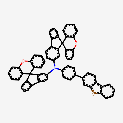 c1ccc2c(c1)Oc1ccccc1C21c2ccccc2-c2ccc(N(c3ccc(-c4ccc5c(c4)sc4ccccc45)cc3)c3ccc4c(c3)C3(c5ccccc5Oc5ccccc53)c3ccccc3-4)cc21